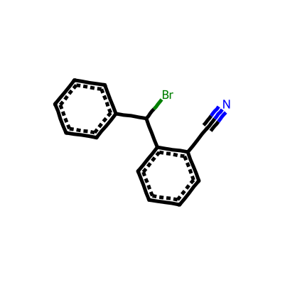 N#Cc1ccccc1C(Br)c1ccccc1